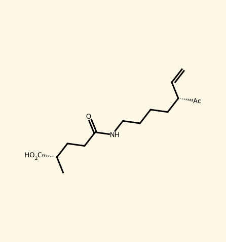 C=C[C@@H](CCCCNC(=O)CC[C@H](C)C(=O)O)C(C)=O